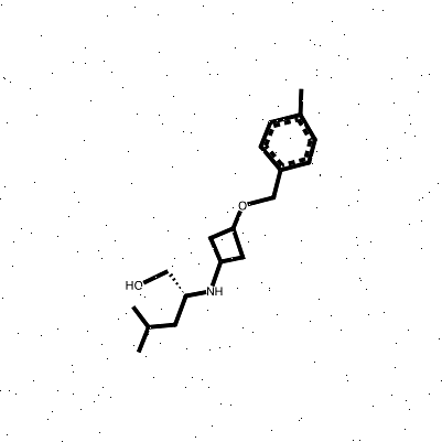 Cc1ccc(COC2CC(N[C@@H](CO)CC(C)C)C2)cc1